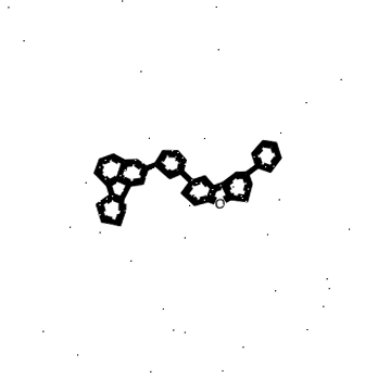 c1ccc(-c2ccc3oc4ccc(-c5cccc(-c6cc7c8c(cccc8c6)-c6ccccc6-7)c5)cc4c3c2)cc1